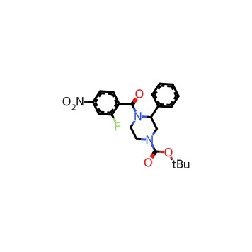 CC(C)(C)OC(=O)N1CCN(C(=O)c2ccc([N+](=O)[O-])cc2F)C(c2ccccc2)C1